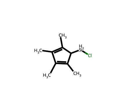 CC1=C(C)C([SiH2]Cl)C(C)=C1C